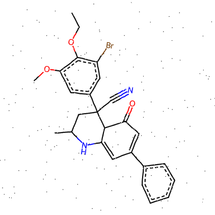 CCOc1c(Br)cc(C2(C#N)CC(C)NC3=CC(c4ccccc4)=CC(=O)C32)cc1OC